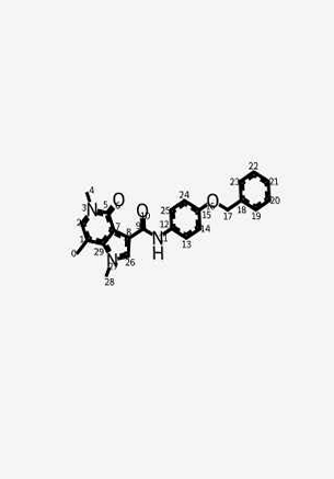 Cc1cn(C)c(=O)c2c(C(=O)Nc3ccc(OCc4ccccc4)cc3)cn(C)c12